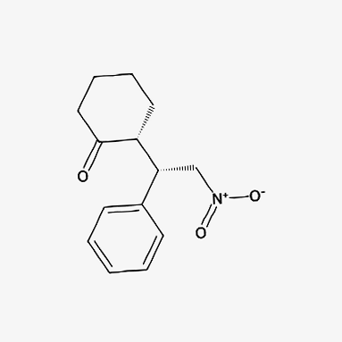 O=C1CCCC[C@@H]1[C@H](C[N+](=O)[O-])c1ccccc1